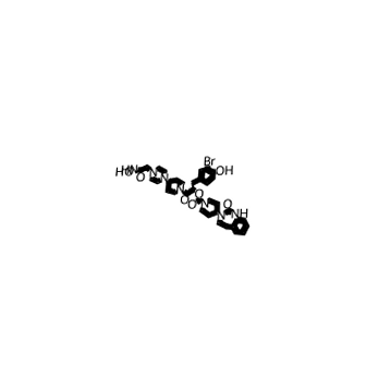 O=C(CN1CCN(C2CCN(C(=O)[C@@H](Cc3ccc(O)c(Br)c3)OC(=O)N3CCC(N4CCc5ccccc5NC4=O)CC3)CC2)CC1)NO